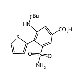 CCCCNc1cc(C(=O)O)cc(S(N)(=O)=O)c1-c1cccs1